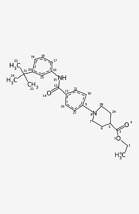 CCOC(=O)C1CCN(c2ccc(C(=O)Nc3cccc(C(C)(C)C)c3)cc2)CC1